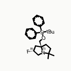 CC1(C)CC[C@@]2(CO[Si](c3ccccc3)(c3ccccc3)C(C)(C)C)C[C@@H](F)CN12